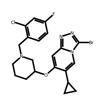 Fc1ccc(CN2CCCC(Oc3cc4nnc(Br)n4cc3C3CC3)C2)c(Cl)c1